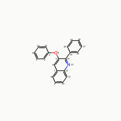 c1ccc(Oc2cc3ccccc3nc2-c2ccccc2)cc1